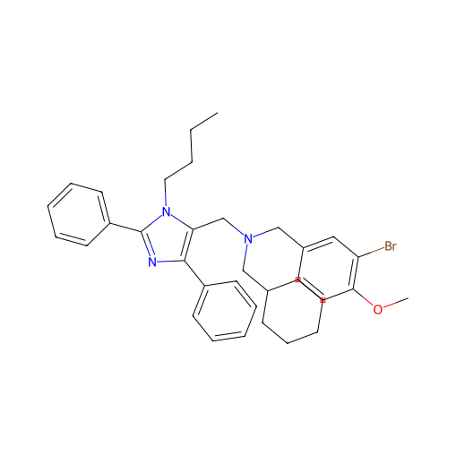 CCCCn1c(-c2ccccc2)nc(-c2ccccc2)c1CN(Cc1ccc(OC)c(Br)c1)CC1CCCCC1